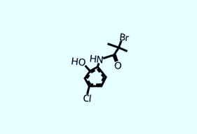 CC(C)(Br)C(=O)Nc1ccc(Cl)cc1O